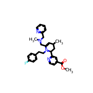 COC(=O)c1ccnc(C2CC(C)C=C(CN(C)Cc3ccccn3)N2CCc2ccc(F)cc2)c1